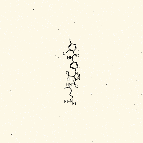 CCN(CC)CCCC(C)NC(=O)c1ncn(-c2ccc(NC(=O)c3ccc(F)cc3Cl)cc2)c1C(N)=O